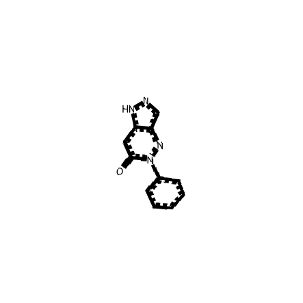 O=c1cc2[nH]ncc2nn1-c1ccccc1